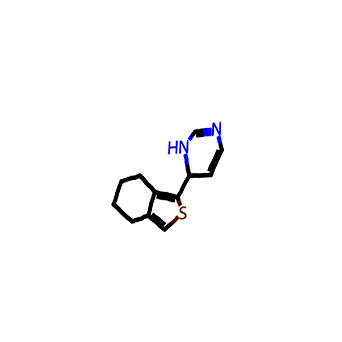 C1=CC(c2scc3c2CCCC3)NC=N1